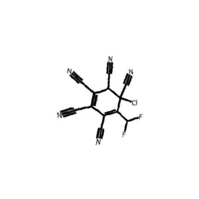 N#CC1=C(C#N)C(C#N)C(Cl)(C#N)C(C(F)F)=C1C#N